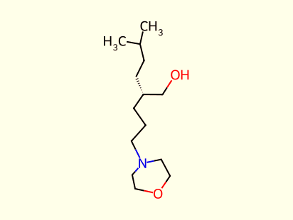 CC(C)CC[C@H](CO)CCCN1CCOCC1